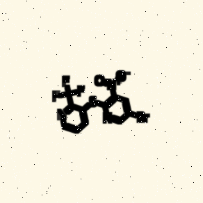 O=[N+]([O-])c1cc(Br)cnc1Sc1cccnc1C(F)(F)F